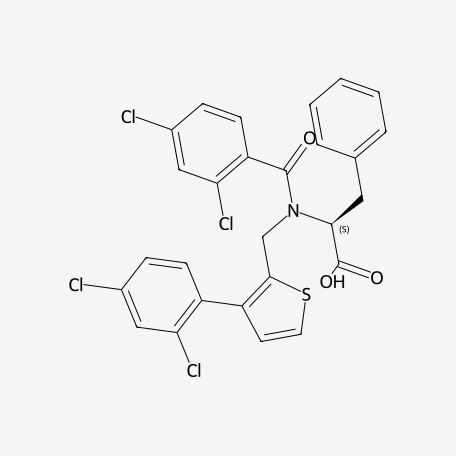 O=C(O)[C@H](Cc1ccccc1)N(Cc1sccc1-c1ccc(Cl)cc1Cl)C(=O)c1ccc(Cl)cc1Cl